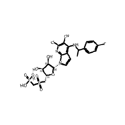 CC(Nc1c(C#N)c(Cl)nc2c1ccn2[C@@H]1O[C@H](CS(=O)(=O)CP(=O)(O)O)[C@@H](O)[C@H]1O)c1ccc(F)cc1